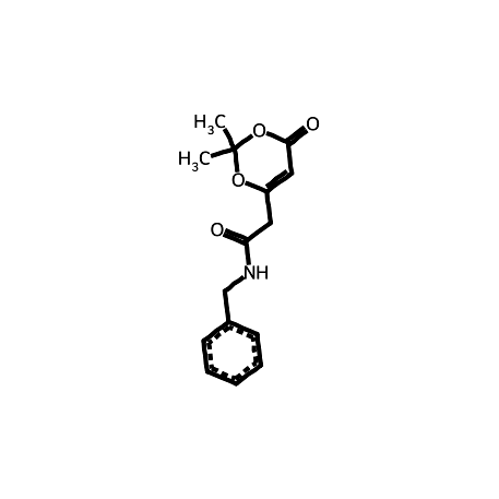 CC1(C)OC(=O)C=C(CC(=O)NCc2ccccc2)O1